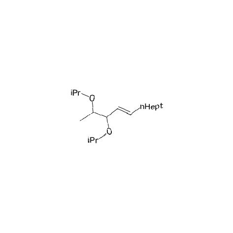 CCCC[CH]CCC=CC(OC(C)C)C(C)OC(C)C